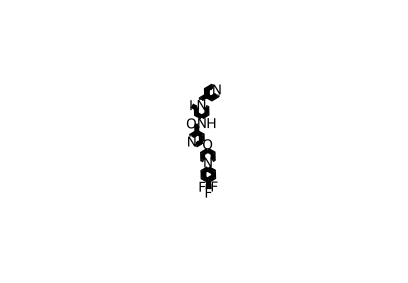 O=C(NC1CCN(Cc2ccncc2)C(I)C1)c1cncc(OC2CCN(c3ccc(C(F)(F)F)cc3)CC2)c1